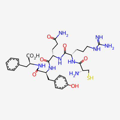 N=C(N)NCCC[C@H](NC(=O)[C@@H](N)CS)C(=O)N[C@@H](CCC(N)=O)C(=O)N[C@@H](Cc1ccc(O)cc1)C(=O)N[C@@H](Cc1ccccc1)C(=O)O